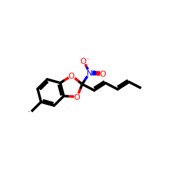 [CH2]c1ccc2c(c1)OC(/C=C/C=C/C)([N+](=O)[O-])O2